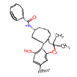 CCCCCc1cc(O)c2c(c1)OC(C)(C)C1CCC(NC(=O)c3ccccc3)CC21